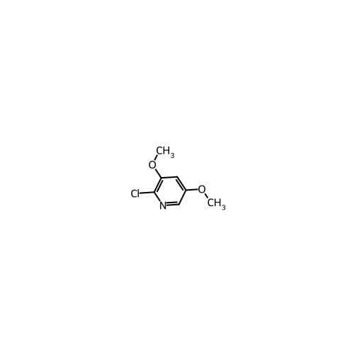 COc1cnc(Cl)c(OC)c1